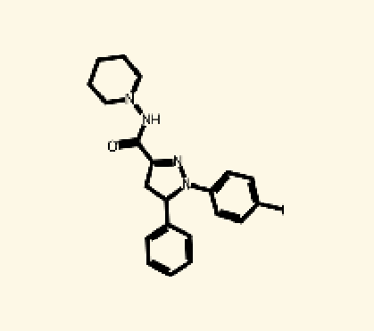 O=C(NN1CCCCC1)C1=NN(c2ccc(I)cc2)C(c2ccccc2)C1